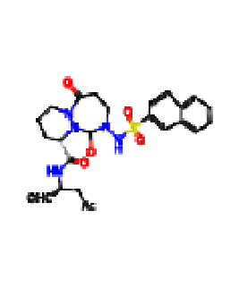 CC(=O)C[C@@H](C=O)NC(=O)[C@@H]1CCCN2C(=O)CCN(NS(=O)(=O)c3ccc4ccccc4c3)C(=O)N12